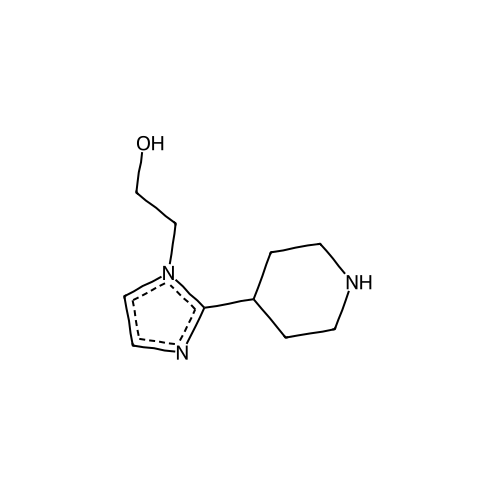 OCCn1ccnc1C1CCNCC1